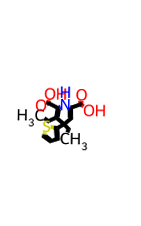 CCC1=C(C(=O)O)NC(C(=O)O)=CC1(CC)c1cccs1